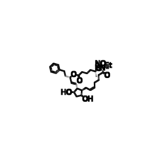 CCNC(=O)CCC/C=C\C[C@@H]1[C@@H](/C=C/[C@H](CCc2ccccc2)OC(=O)CCC[C@@H](C)O[N+](=O)[O-])[C@H](O)C[C@@H]1O